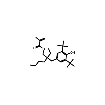 C=C(C)C(=O)OCC(CC)(CCCC)Cc1cc(C(C)(C)C)c(O)c(C(C)(C)C)c1